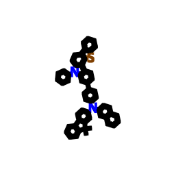 CC1(C)c2ccccc2-c2ccc(N(c3ccc(-c4ccc5c6c7sc8ccccc8c7ccc6n(-c6ccccc6)c5c4)cc3)c3ccc4ccccc4c3)cc21